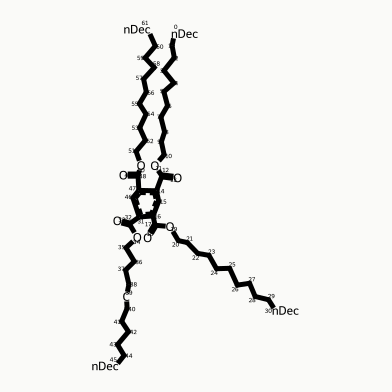 CCCCCCCCCCCCCCCCCCCCOC(=O)c1cc(C(=O)OCCCCCCCCCCCCCCCCCCCC)c(C(=O)OCCCCCCCCCCCCCCCCCCCC)cc1C(=O)OCCCCCCCCCCCCCCCCCCCC